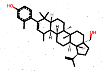 C=C(C)[C@@H]1CC[C@]2(CO)CC[C@]3(C)[C@H](CC[C@@H]4[C@H]5C(C)C=C(c6ccc(O)cc6C)C(C)(C)[C@@H]5CC[C@]43C)[C@@H]12